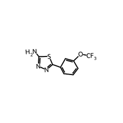 Nc1nnc(-c2cccc(OC(F)(F)F)c2)s1